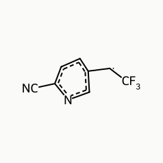 N#Cc1ccc([CH]C(F)(F)F)cn1